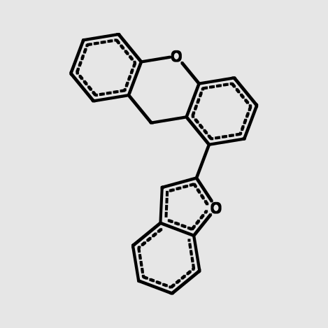 c1ccc2c(c1)Cc1c(cccc1-c1cc3ccccc3o1)O2